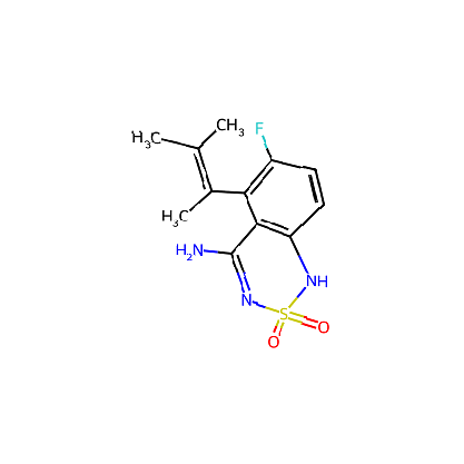 CC(C)=C(C)c1c(F)ccc2c1C(N)=NS(=O)(=O)N2